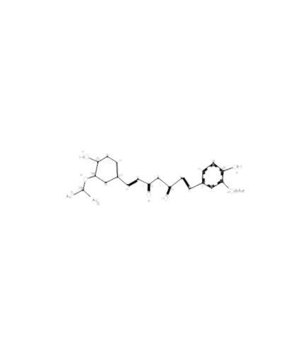 COc1cc(/C=C/C(=O)CC(=O)/C=C/C2CCC(O)C(OC(C(C)=O)C(C)=O)C2)ccc1O